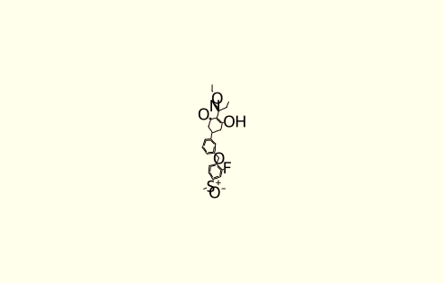 CCON=C(CC)C1=C(O)CC(c2cccc(Oc3ccc([S+](C)[O-])cc3F)c2)CC1=O